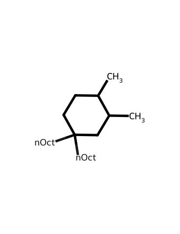 CCCCCCCCC1(CCCCCCCC)CCC(C)C(C)C1